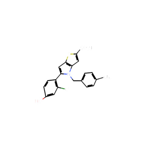 N#Cc1ccc(Cn2c(-c3ccc(O)cc3Cl)cc3sc(C(=O)O)cc32)cc1